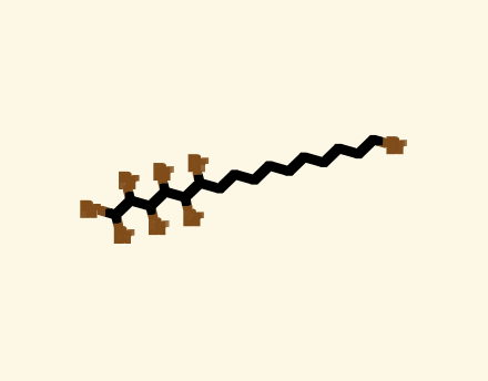 BrCCCCCCCCCCC(Br)C(Br)C(Br)C(Br)C(Br)C(Br)Br